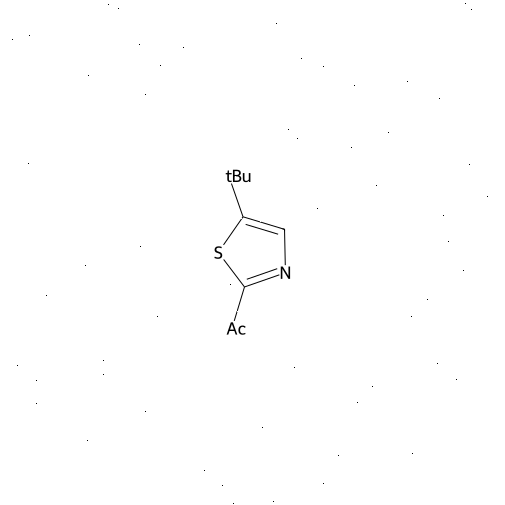 CC(=O)c1ncc(C(C)(C)C)s1